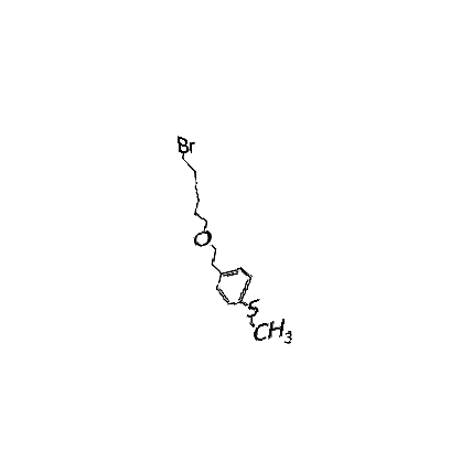 CCSc1ccc(CCOCCCCCCBr)cc1